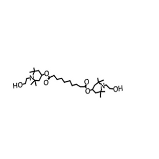 CC1(C)CC(OC(=O)CCCCCCCCC(=O)OC2CC(C)(C)N(CCO)C(C)(C)C2)CC(C)(C)N1CCO